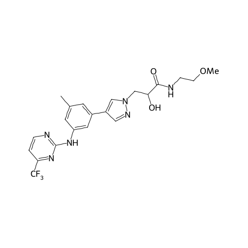 COCCNC(=O)C(O)Cn1cc(-c2cc(C)cc(Nc3nccc(C(F)(F)F)n3)c2)cn1